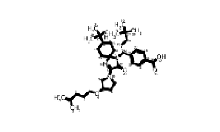 CC(C)CCCOC1CCN(C2=NC3(CCC(C(C)(C)C)CC3)N([C@H](CCC(C)(C)C)c3ccc(C(=O)O)cc3)C2=O)C1